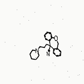 N#CC1(CCCN2CCCCC2)c2ccccc2COc2ccccc21